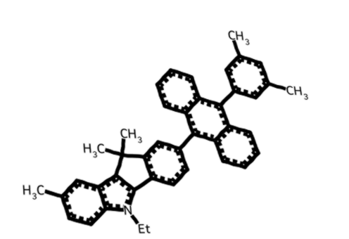 CCn1c2c(c3cc(C)ccc31)C(C)(C)c1cc(-c3c4ccccc4c(-c4cc(C)cc(C)c4)c4ccccc34)ccc1-2